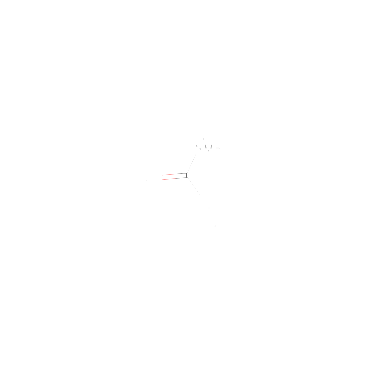 CCC(=O)NC.O